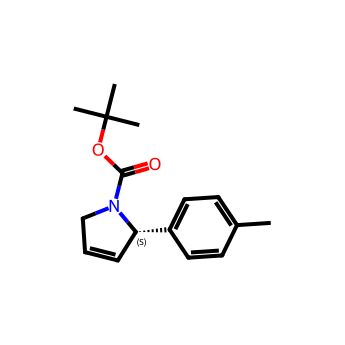 Cc1ccc([C@@H]2C=CCN2C(=O)OC(C)(C)C)cc1